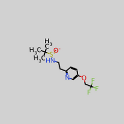 CC(C)(C)[S@@+]([O-])NCCc1ccc(OCC(F)(F)F)cn1